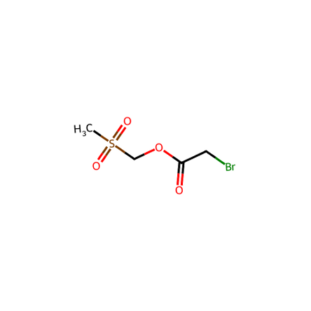 CS(=O)(=O)COC(=O)CBr